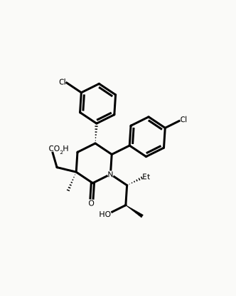 CC[C@H]([C@@H](C)O)N1C(=O)[C@@](C)(CC(=O)O)C[C@H](c2cccc(Cl)c2)C1c1ccc(Cl)cc1